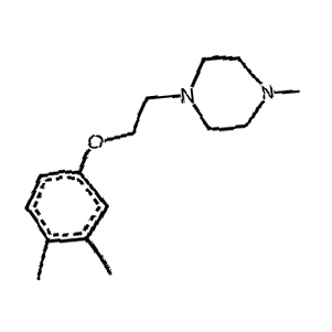 Cc1ccc(OCCN2CCN(C)CC2)cc1C